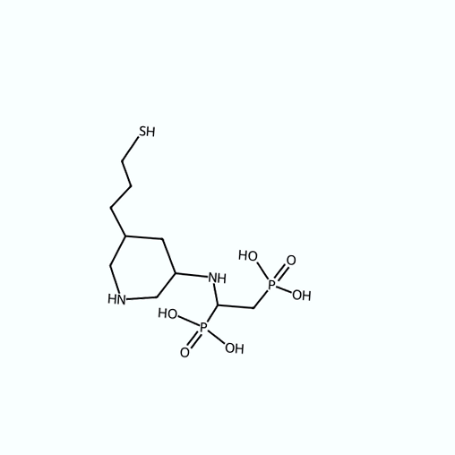 O=P(O)(O)CC(NC1CNCC(CCCS)C1)P(=O)(O)O